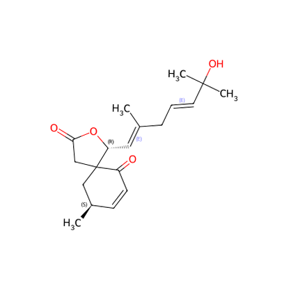 C/C(=C\[C@H]1OC(=O)CC12C[C@H](C)C=CC2=O)C/C=C/C(C)(C)O